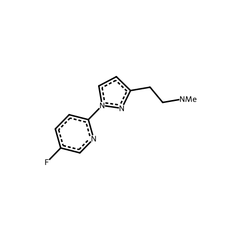 CNCCc1ccn(-c2ccc(F)cn2)n1